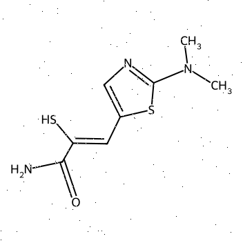 CN(C)c1ncc(/C=C(\S)C(N)=O)s1